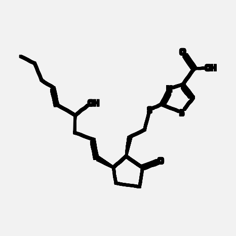 CCC/C=C/C(O)C/C=C/[C@@H]1CCC(=O)[C@@H]1CCSc1nc(C(=O)O)cs1